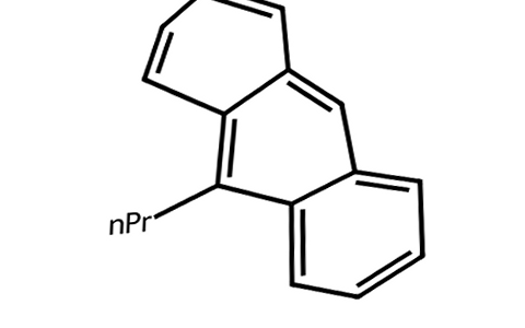 [CH2]CCc1c2ccccc2cc2ccccc12